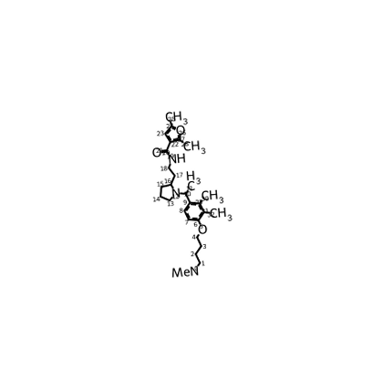 CNCCCCOc1ccc(C(C)N2CCCC2CCNC(=O)c2cc(C)oc2C)c(C)c1C